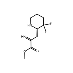 COC(=O)C(=N)/C=C1\NCCCC1(F)F